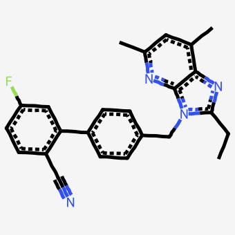 CCc1nc2c(C)cc(C)nc2n1Cc1ccc(-c2cc(F)ccc2C#N)cc1